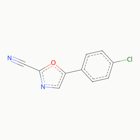 N#Cc1ncc(-c2ccc(Cl)cc2)o1